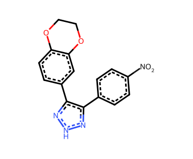 O=[N+]([O-])c1ccc(-c2n[nH]nc2-c2ccc3c(c2)OCCO3)cc1